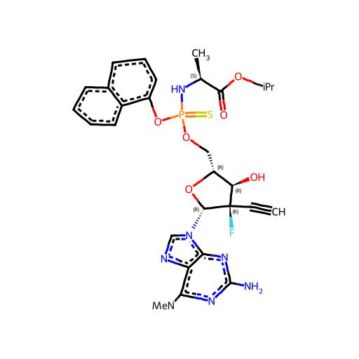 C#C[C@@]1(F)[C@H](O)[C@@H](COP(=S)(N[C@@H](C)C(=O)OC(C)C)Oc2cccc3ccccc23)O[C@H]1n1cnc2c(NC)nc(N)nc21